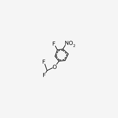 O=[N+]([O-])c1ccc(OC(F)F)cc1F